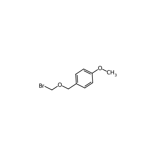 COc1ccc(COCBr)cc1